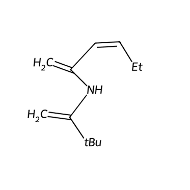 C=C(/C=C\CC)NC(=C)C(C)(C)C